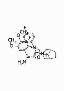 COc1cc2c(N)nc(N3CC4CCC(C3)N4C(=O)CCc3ccc(F)cc3)nc2c(F)c1OC